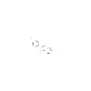 CCCCSc1ccc2nc(-c3ccc(OCCC)cc3)cn2c1.N